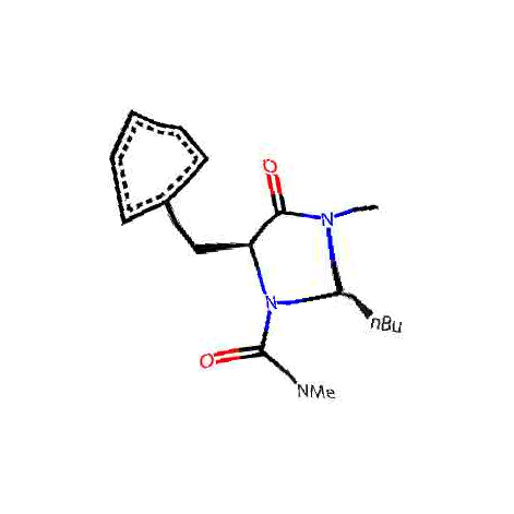 CCCC[C@@H]1N(C)C(=O)[C@H](Cc2ccccc2)N1C(=O)NC